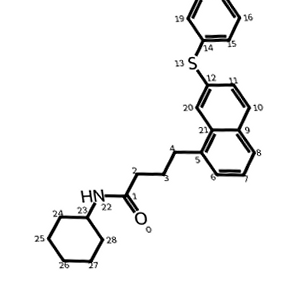 O=C(CCCc1cccc2ccc(Sc3ccccc3)cc12)NC1CCCCC1